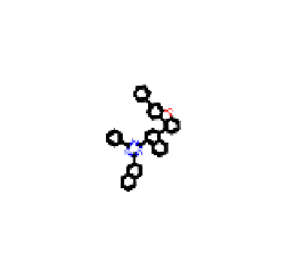 C1=CC(c2ccc3c(c2)oc2cccc(-c4ccc(-c5nc(-c6ccccc6)nc(-c6ccc7c(c6)CCC=C7)n5)c5c4CCC=C5)c23)=CCC1